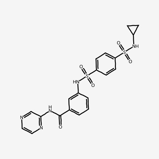 O=C(Nc1cnccn1)c1cccc(NS(=O)(=O)c2ccc(S(=O)(=O)NC3CC3)cc2)c1